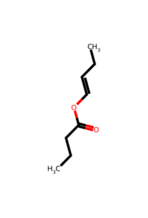 CCC=COC(=O)CCC